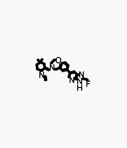 C=C/N=C1/CCC(C)(C)C/C1=C\N1CCOc2ccc(-c3cnc4[nH]c(CF)nc4c3)cc2C1